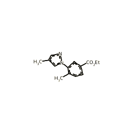 CCOC(=O)c1ccc(C)c(-n2cc(C)cn2)c1